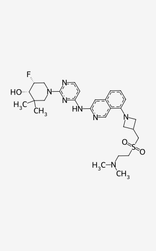 CN(C)CCS(=O)(=O)CC1CN(c2cccc3cc(Nc4ccnc(N5C[C@@H](F)[C@@H](O)C(C)(C)C5)n4)ncc23)C1